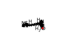 N#Cc1cc(CNCCCCOCCNc2nc3cc(C(N)=O)ccc3c3cnccc23)ccc1OC1CCC1